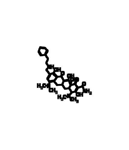 CN(C)c1cc(CNCCc2ccccc2)c(O)c2c1CC1CC3C(N(C)C)C(O)=C(C(N)=O)C(=O)C3(O)C(O)=C1C2=O